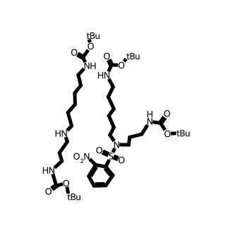 CC(C)(C)OC(=O)NCCCCCCN(CCCNC(=O)OC(C)(C)C)S(=O)(=O)c1ccccc1[N+](=O)[O-].CC(C)(C)OC(=O)NCCCCCCNCCCNC(=O)OC(C)(C)C